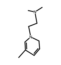 CC1=CN(CCN(C)C)CC=C1